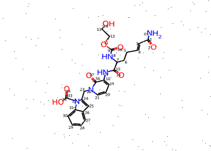 NC(=O)/C=C/CCC(NC(=O)OCCO)C(=O)Nc1cccn(Cc2cc3ccccc3n2C(=O)O)c1=O